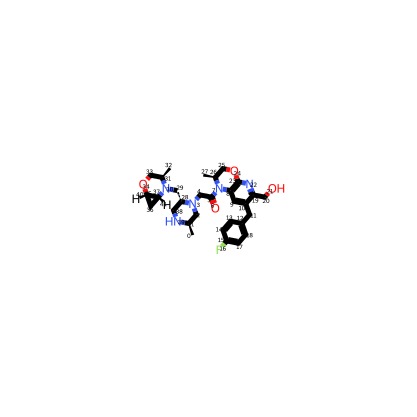 C[C@@H]1CN(CC(=O)N2c3cc(Cc4ccc(F)cc4)c(CO)nc3OC[C@@H]2C)[C@@H](CN2[C@H](C)CO[C@H]3C[C@H]32)CN1